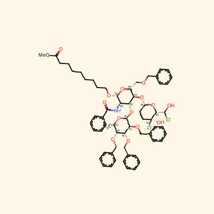 COC(=O)CCCCCCCCO[C@@H]1O[C@H](COCc2ccccc2)[C@@H](O[C@H]2CC[C@](O)(Cl)[C@@H](C(O)Cl)O2)[C@H](O[C@@H]2O[C@@H](C)[C@@H](OCc3ccccc3)[C@@H](OCc3ccccc3)[C@@H]2OCc2ccccc2)[C@H]1NC(=O)c1ccccc1